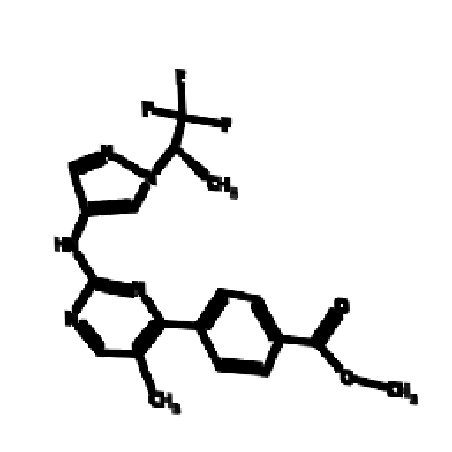 COC(=O)c1ccc(-c2nc(Nc3cnn([C@H](C)C(F)(F)F)c3)ncc2C)cc1